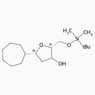 CC(C)(C)[Si](C)(C)OC[C@H]1O[C@@H](C2CCCCCC2)CC1O